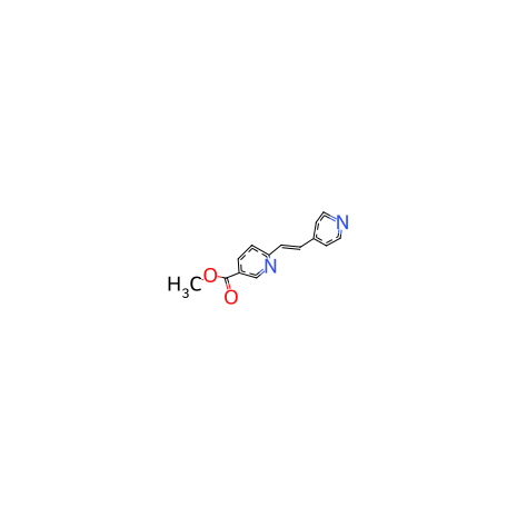 COC(=O)c1ccc(/C=C/c2ccncc2)nc1